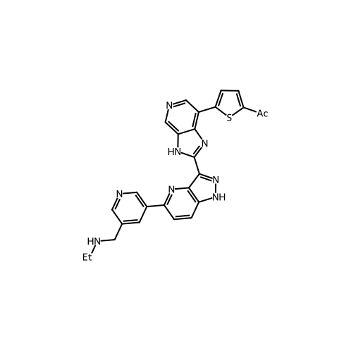 CCNCc1cncc(-c2ccc3[nH]nc(-c4nc5c(-c6ccc(C(C)=O)s6)cncc5[nH]4)c3n2)c1